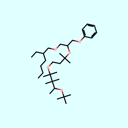 CCCCC(CC)COCC(COc1ccccc1)OC(C)(C)CCOC(C)(C)C(C)(C)C(C)OC(C)(C)C